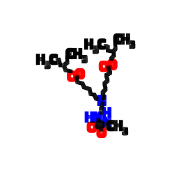 CCCC(CCC)CCOC(=O)CCCCCCCN(CCCCCCCC(=O)OCCC(CCC)CCC)CCCNc1c(NC)c(=O)c1=O